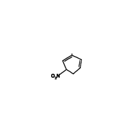 O=[N+]([O-])C1C=[C]C=CC1